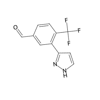 O=Cc1ccc(C(F)(F)F)c(-c2cc[nH]n2)c1